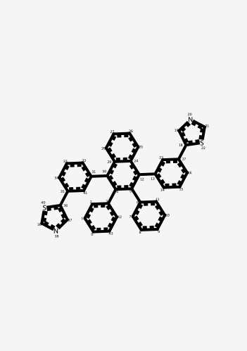 c1ccc(-c2c(-c3ccccc3)c(-c3cccc(-c4cncs4)c3)c3ccccc3c2-c2cccc(-c3cncs3)c2)cc1